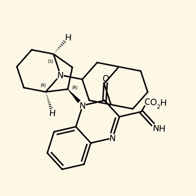 N=C(C(=O)O)c1nc2ccccc2n([C@@H]2C[C@@H]3CCC[C@H]2N3C2CC3CCCC(C3)C2)c1=O